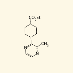 CCOC(=O)C1CCC(c2nccnc2C)CC1